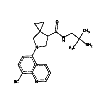 CC(C)(N)CNC(=O)C1CN(c2ccc(C#N)c3ncccc23)CC12CC2